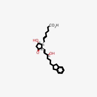 O=C(O)CCCC=CC[C@H]1[C@@H](O)CC(=O)[C@@H]1C=C[C@@H](O)CCCC1Cc2ccccc2C1